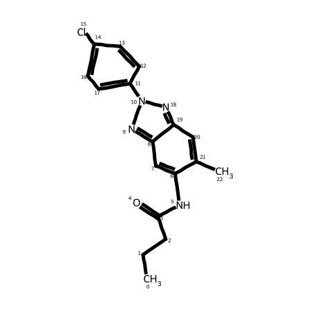 CCCC(=O)Nc1cc2nn(-c3ccc(Cl)cc3)nc2cc1C